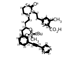 Cc1cc(CCN2C(=O)SCCN2CC[C@H](Cc2cccc(C#Cc3cscn3)c2)O[Si](C)(C)C(C)(C)C)sc1C(=O)O